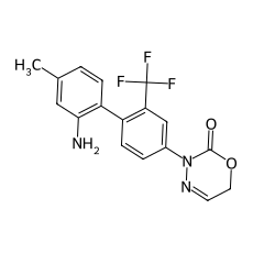 Cc1ccc(-c2ccc(N3N=CCOC3=O)cc2C(F)(F)F)c(N)c1